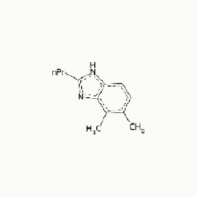 CCCc1nc2c(C)c(C)ccc2[nH]1